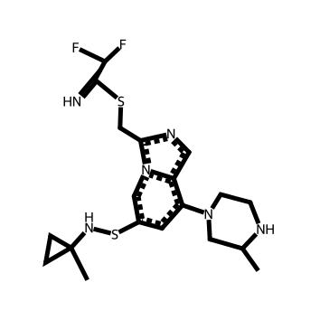 CC1CN(c2cc(SNC3(C)CC3)cn3c(CSC(=N)C(F)F)ncc23)CCN1